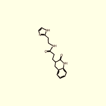 O=C(CCC1Cc2ccccc2NC1=O)NCCc1ncc[nH]1